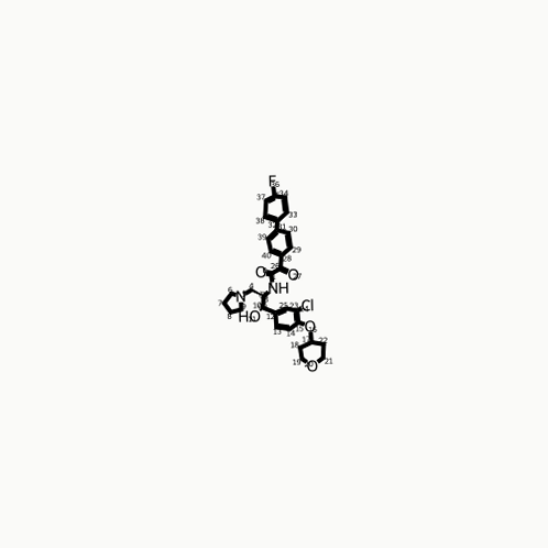 O=C(N[C@H](CN1CCCC1)[C@@H](O)c1ccc(OC2CCOCC2)c(Cl)c1)C(=O)c1ccc(-c2ccc(F)cc2)cc1